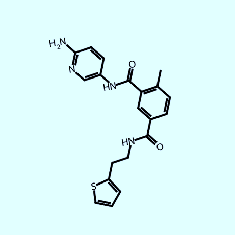 Cc1ccc(C(=O)NCCc2cccs2)cc1C(=O)Nc1ccc(N)nc1